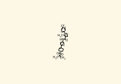 Cc1c(C(=O)Nc2ccc(C3=CCN(S(=O)(=O)N(C)C)CC3)nc2)cnn1-c1ccc(C(F)(F)F)cn1